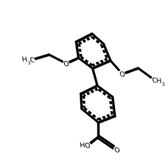 CCOc1c[c]cc(OCC)c1-c1ccc(C(=O)O)cc1